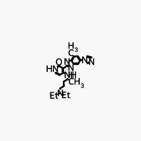 CCN(CC)CCCC(C)Nc1cc[nH]c(=O)c1-c1nc2c(C)cc(-n3ccnc3)cc2[nH]1